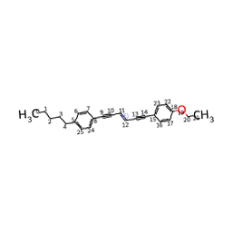 CCCCCc1ccc(C#C/C=C/C#Cc2ccc(OCC)cc2)cc1